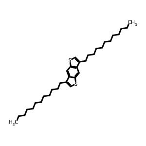 CCCCCCCCCCCCc1csc2cc3c(CCCCCCCCCCCC)csc3cc12